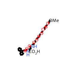 COCCOCCOCCOCCOCCOCCOCCOCCNC(=O)CC[C@H](NC(=O)OCC1c2ccccc2-c2ccccc21)C(=O)O